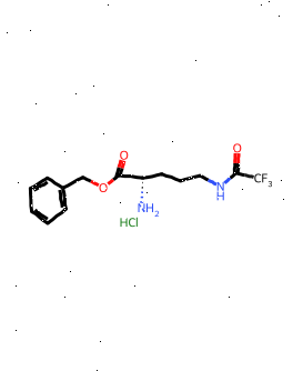 Cl.N[C@@H](CCCNC(=O)C(F)(F)F)C(=O)OCc1ccccc1